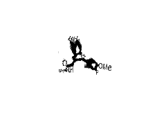 Bc1ccc2nc(-c3ccc(F)c(OC)c3)c(CC(=O)NC(C)C)cc2c1